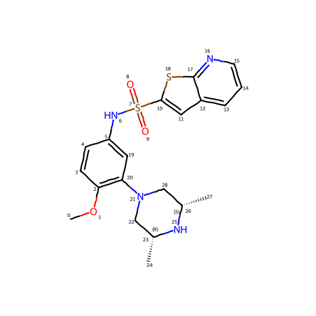 COc1ccc(NS(=O)(=O)c2cc3cccnc3s2)cc1N1C[C@@H](C)N[C@@H](C)C1